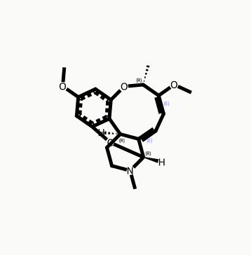 CO/C1=C/C=C2\[C@H]3CCN(C)[C@@H]2Cc2cc(OC)cc(c23)O[C@@H]1C